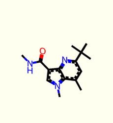 CNC(=O)c1cn(C)c2c(C)cc(C(C)(C)C)nc12